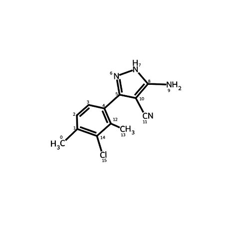 Cc1ccc(-c2n[nH]c(N)c2C#N)c(C)c1Cl